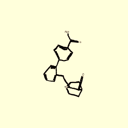 O=C(O)c1ccc(-c2ccccc2CC2C(=O)C3CCN2CC3)cc1